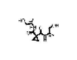 C[C@H](CO)NC(=O)C1(C(=O)N[C@H](C)CO)CC1